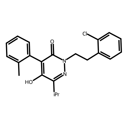 Cc1ccccc1-c1c(O)c(C(C)C)nn(CCc2ccccc2Cl)c1=O